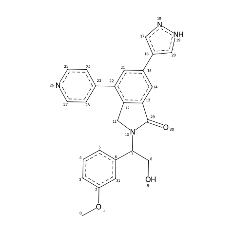 COc1cccc(C(CO)N2Cc3c(cc(-c4cn[nH]c4)cc3-c3ccncc3)C2=O)c1